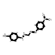 O=[N+]([O-])c1ccc(N=NCN=Nc2ccc(S)cc2)cc1